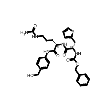 NC(=O)NCCC[C@H](NC(=O)[C@H](Cc1cccs1)NC(=O)OCc1ccccc1)C(=O)Nc1ccc(CO)cc1